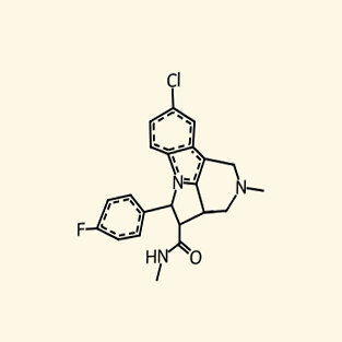 CNC(=O)C1C(c2ccc(F)cc2)n2c3c(c4cc(Cl)ccc42)CN(C)CC31C